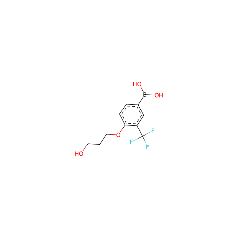 OCCCOc1ccc(B(O)O)cc1C(F)(F)F